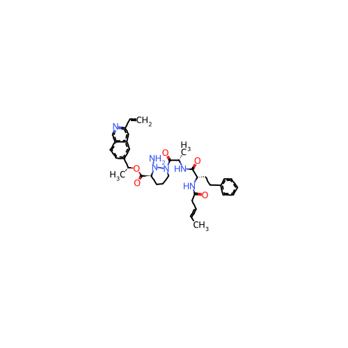 C=Cc1cc2cc([C@@H](C)OC(=O)[C@@H]3CCCN(C(=O)[C@H](C)NC(=O)[C@H](CCc4ccccc4)NC(=O)C/C=C/C)N3N)ccc2cn1